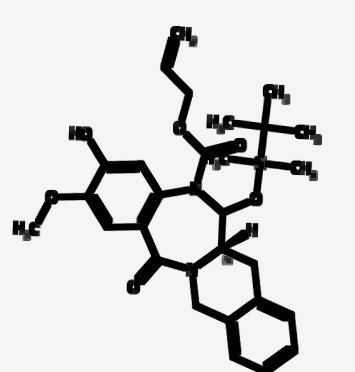 C=CCOC(=O)N1c2cc(O)c(OC)cc2C(=O)N2Cc3ccccc3C[C@H]2C1O[Si](C)(C)C(C)(C)C